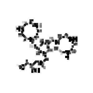 COCC(O)CN(C)Cc1cc(CN2CCNCCNCC2)cc(CN2CCNCCNCC2)c1